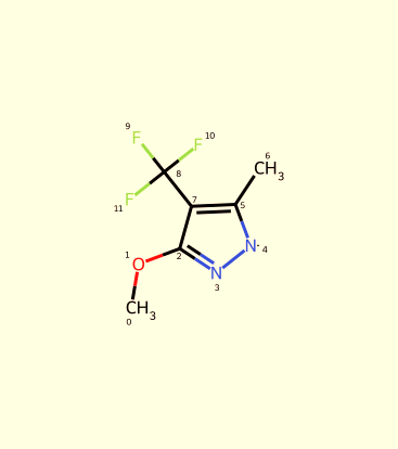 COC1=N[N]C(C)=C1C(F)(F)F